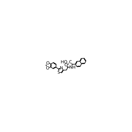 O=C(Cc1csc(-c2ccc3c(c2)OCO3)n1)NC(C(=O)O)c1ccc2ccccc2c1